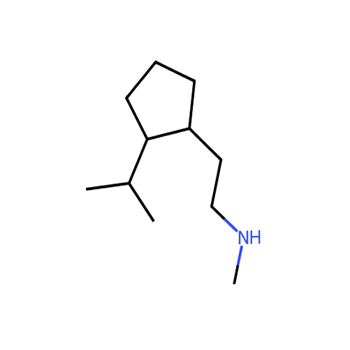 CNCCC1CCCC1C(C)C